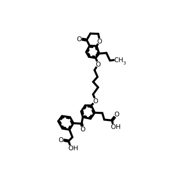 CCCc1c(OCCCCCOc2ccc(C(=O)c3ccccc3CC(=O)O)cc2CCC(=O)O)ccc2c1OCCC2=O